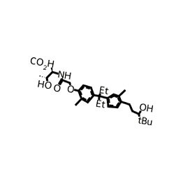 CCC(CC)(c1ccc(CCC(O)C(C)(C)C)c(C)c1)c1ccc(OCC(=O)N[C@H](C(=O)O)[C@@H](C)O)c(C)c1